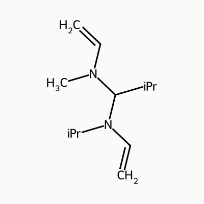 C=CN(C)C(C(C)C)N(C=C)C(C)C